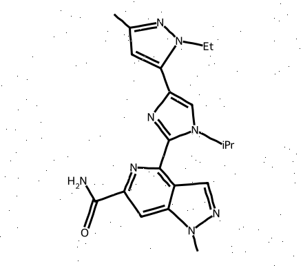 CCn1nc(C)cc1-c1cn(C(C)C)c(-c2nc(C(N)=O)cc3c2cnn3C)n1